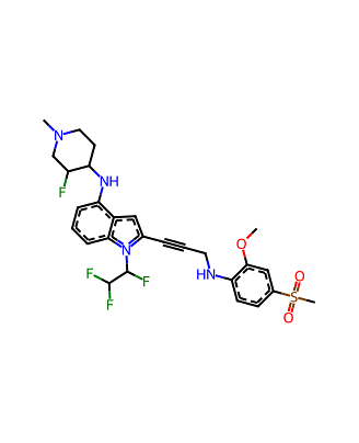 COc1cc(S(C)(=O)=O)ccc1NCC#Cc1cc2c(NC3CCN(C)CC3F)cccc2n1C(F)C(F)F